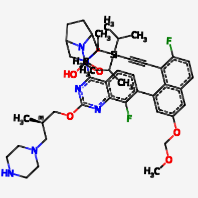 COCOc1cc(-c2ccc3c(N4CC5CCC(C4)N5C(=O)O)nc(OC[C@H](C)CN4CCNCC4)nc3c2F)c2c(C#C[Si](C(C)C)(C(C)C)C(C)C)c(F)ccc2c1